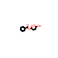 O=C(O)/C=C\C(=O)OC(=O)c1ccccc1